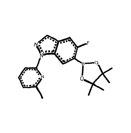 Cc1cccc(-n2ncc3cc(F)c(B4OC(C)(C)C(C)(C)O4)cc32)n1